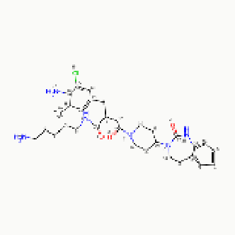 NCCCCCNC(=O)C(CC(=O)N1CCC(N2CCc3ccccc3NC2=O)CC1)Cc1cc(Cl)c(N)c(C(F)(F)F)c1